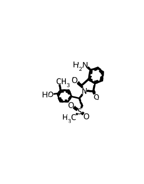 Cc1cc(C(CS(C)(=O)=O)N2C(=O)c3cccc(N)c3C2=O)ccc1O